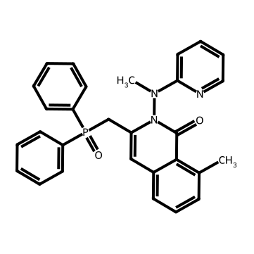 Cc1cccc2cc(CP(=O)(c3ccccc3)c3ccccc3)n(N(C)c3ccccn3)c(=O)c12